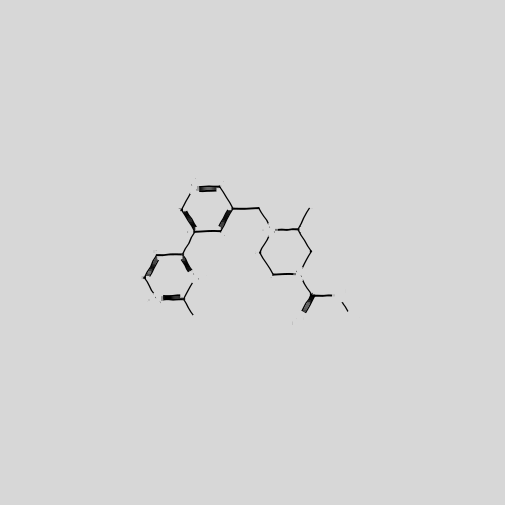 CC1CN(C(=O)OC(C)(C)C)CCN1Cc1cncc(-c2ccnc(Cl)n2)c1